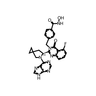 O=C(NO)c1ccc(Cn2c([C@@H]3CC4(CC4)CN3c3ncnc4[nH]cnc34)nc3cccc(F)c3c2=O)cc1